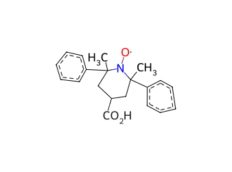 CC1(c2ccccc2)CC(C(=O)O)CC(C)(c2ccccc2)N1[O]